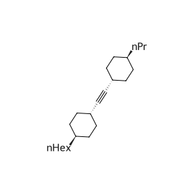 CCCCCC[C@H]1CC[C@H](C#C[C@H]2CC[C@H](CCC)CC2)CC1